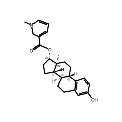 CN1C=CC=C(C(=O)O[C@H]2CC[C@H]3[C@@H]4CCc5cc(O)ccc5[C@H]4CC[C@]23C)C1